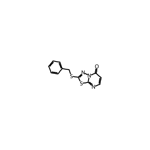 O=c1ccnc2sc(SCc3ccccc3)nn12